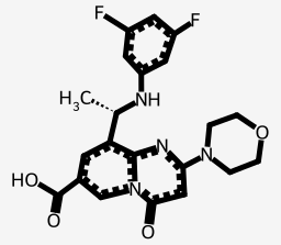 C[C@H](Nc1cc(F)cc(F)c1)c1cc(C(=O)O)cn2c(=O)cc(N3CCOCC3)nc12